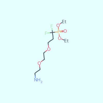 CCOP(=O)(OCC)C(F)(F)CCOCCOCCN